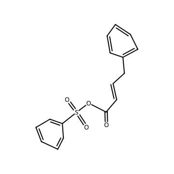 O=C(C=CCc1ccccc1)OS(=O)(=O)c1ccccc1